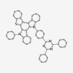 c1ccc(-c2nc(-c3ccccc3)nc(-c3ccc(-n4c5ccccc5c5c6c7ccccc7sc6c6c(c7ccccc7n6-c6ccccc6)c54)cc3)n2)cc1